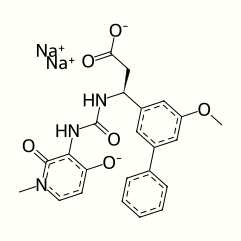 COc1cc(-c2ccccc2)cc([C@H](CC(=O)[O-])NC(=O)Nc2c([O-])ccn(C)c2=O)c1.[Na+].[Na+]